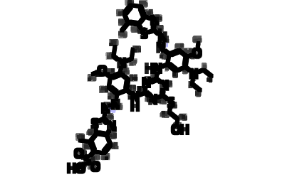 CCN(CC)c1cc(Nc2nc(Nc3cc(N(CC)CC)c(OC)cc3/N=N/c3nc4ccc(S(=O)(=O)O)c(C)c4s3)nc(SCCO)n2)c(/N=N/c2nc3cccc(C)c3s2)cc1OC